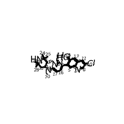 CN1NC(c2cc3ncc(Cl)cc3cc2O)=CC=C1N(C)C1CC(C)(C)NC(C)(C)C1